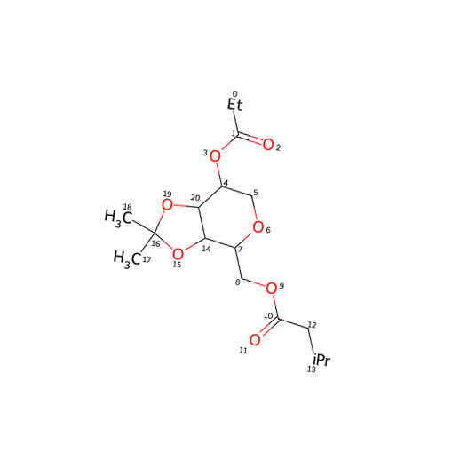 CCC(=O)OC1COC(COC(=O)CC(C)C)C2OC(C)(C)OC12